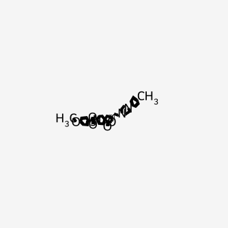 COc1ccc(S(=O)(=O)N2CCC3(CC2)C[C@H](CCN2CCN(c4ccc(C)cc4)CC2)OC3=O)cc1